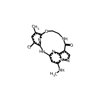 CNc1cc2nc3c(cnn13)C(=O)NCCOc1nc(c(Cl)cc1C)N2